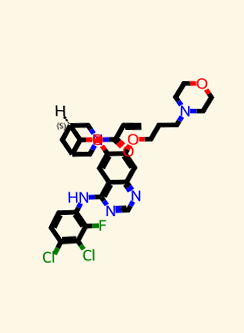 C=CC(=O)N1CC2C[C@@H](C1)C2Oc1cc2c(Nc3ccc(Cl)c(Cl)c3F)ncnc2cc1OCCCN1CCOCC1